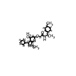 Cc1ccc(C(C)NC(=O)COc2cc(C)c3c(-c4cscn4)nn(C)c3n2)cc1